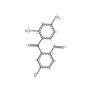 Cc1ccc(C(=O)c2cc(Cl)ccc2[C]=O)c(C)c1